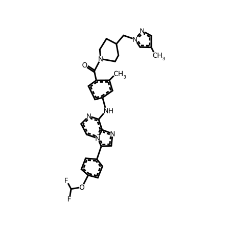 Cc1cnn(CC2CCN(C(=O)c3ccc(Nc4nccn5c(-c6ccc(OC(F)F)cc6)cnc45)cc3C)CC2)c1